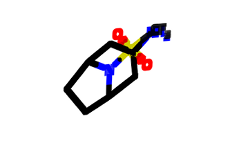 NC1CC2CCC(C1)N2S(=O)(=O)C(F)(F)F